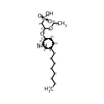 CCCCCCCCc1ccc(OC(CS(=O)(=O)O)OCC)cc1.[NaH]